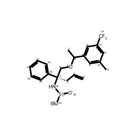 C=CC[C@](COC(C)c1cc(C)cc(C(F)(F)F)c1)(N[S+]([O-])C(C)(C)C)c1ccccc1